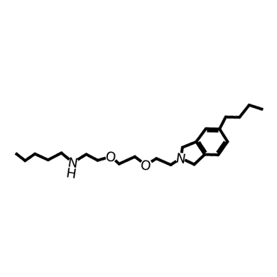 CCCCCNCCOCCOCCN1Cc2ccc(CCCC)cc2C1